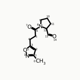 Cc1cc(CCC(=O)N2CCCC2C=O)on1